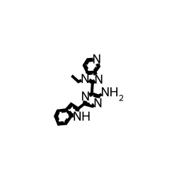 CCn1c(-c2nc(-c3cc4ccccc4[nH]3)cnc2N)nc2cnccc21